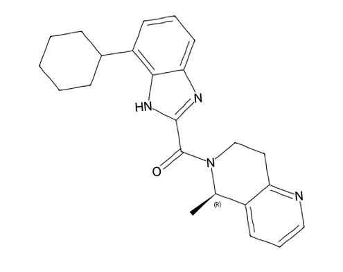 C[C@@H]1c2cccnc2CCN1C(=O)c1nc2cccc(C3CCCCC3)c2[nH]1